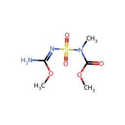 COC(=O)N(C)S(=O)(=O)N=C(N)OC